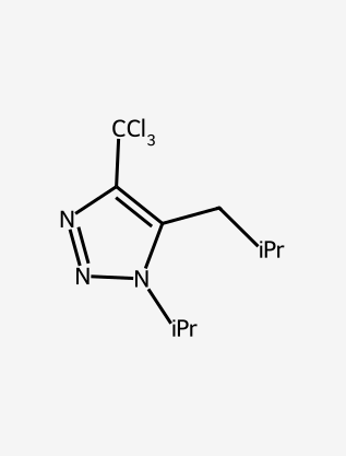 CC(C)Cc1c(C(Cl)(Cl)Cl)nnn1C(C)C